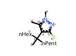 CCCCCCC(C)(CCCCC)c1c(F)nn(C)c1C